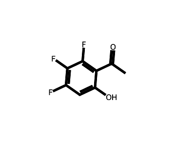 CC(=O)c1c(O)cc(F)c(F)c1F